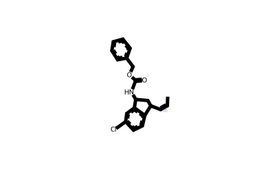 C/C=C\C1CC(NC(=O)OCc2ccccc2)c2cc(Cl)ccc21